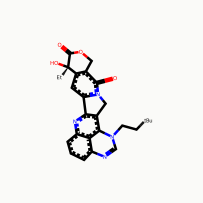 CC[C@@]1(O)C(=O)OCc2c1cc1n(c2=O)Cc2c-1nc1cccc3c1c2N(CCC(C)(C)C)C=N3